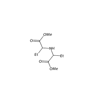 CCC(NC(CC)C(=O)OC)C(=O)OC